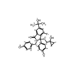 CC(C)(O)c1cc(F)c2c(c1)C(=O)N(Cc1ccc(Cl)cn1)C2(OCC1(O)CC1)c1ccc(Cl)cc1